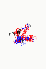 CCCC1O[C@@H]2C[C@H]3[C@@H]4C[C@H](F)C5=CC(=O)C=C[C@]5(C)[C@@]4(F)[C@@H](O)C[C@]3(C)[C@]2(C(=O)COc2ccc(NC(=O)[C@H](CCCNC(N)=O)NC(=O)[C@@H](NC(=O)[C@@H](CCCCNC(=O)COC3CCCCC/C(N[C@@H]4O[C@H](CO)[C@H](O)[C@H](O)[C@H]4O)=C\3N)NC(=O)CCOCCOCCOCCOCCNC(=O)CCC(=O)N3Cc4ccccc4C#Cc4ccccc43)C(C)C)cc2)O1